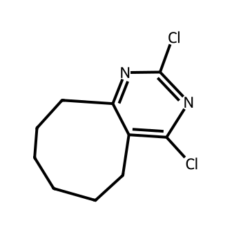 Clc1nc(Cl)c2c(n1)CCCCCC2